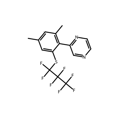 Cc1[c]c(C)c(-c2cnccn2)c(SC(F)(F)C(F)(F)C(F)(F)F)c1